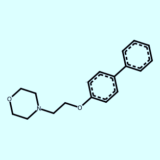 [c]1cc(-c2ccccc2)ccc1OCCN1CCOCC1